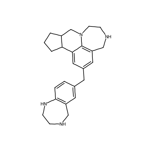 c1cc2c(cc1Cc1cc3c4c(c1)C1CCCC1CN4CCNC3)CNCCN2